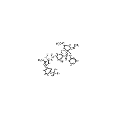 COc1ccc(CN(c2ccncn2)S(=O)(=O)c2c(F)cc(N3CCC[C@@](CCc4cccc(C(F)(F)F)n4)(N(C)C)C3)cc2F)c(OC)c1